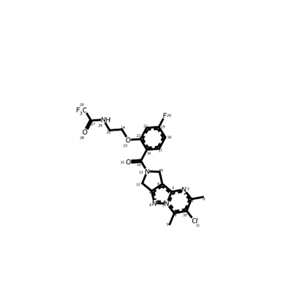 Cc1nc2c3c(nn2c(C)c1Cl)CN(C(=O)c1ccc(F)cc1OCCNC(=O)C(F)(F)F)C3